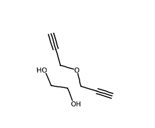 C#CCOCC#C.OCCO